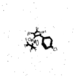 O=S(=O)(c1c(-c2ccc(Cl)cc2)[nH]c(Br)c1Br)C(F)(F)C(F)F